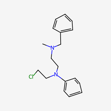 CN(CCN(CCCl)c1ccccc1)Cc1ccccc1